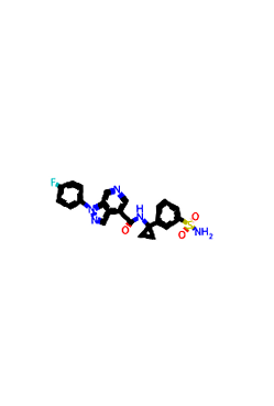 NS(=O)(=O)c1cccc(C2(NC(=O)c3cncc4c3cnn4-c3ccc(F)cc3)CC2)c1